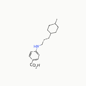 CC1CCC(CCCNc2ccc(C(=O)O)cc2)CC1